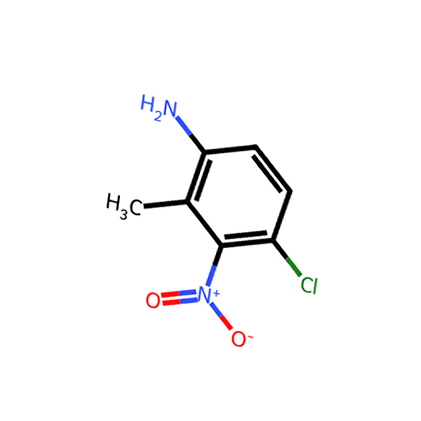 Cc1c(N)ccc(Cl)c1[N+](=O)[O-]